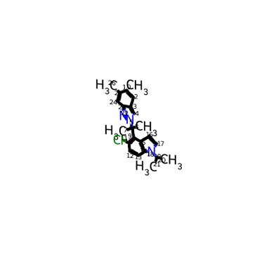 Cc1cc2cn(C(C)(C)c3c(Cl)ccc4c3ccn4C(C)C)nc2cc1C